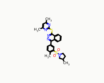 Cc1cc(C)nc(Sc2nnc(-c3ccc(C)c(S(=O)(=O)N4CCC(C)C4)c3)c3ccccc23)n1